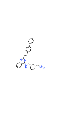 NCC1CCCC(CNc2nc(C=Cc3ccc(-c4ccccc4)cc3)nc3ccccc23)C1